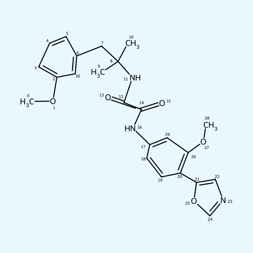 COc1cccc(CC(C)(C)NC(=O)C(=O)Nc2ccc(-c3cnco3)c(OC)c2)c1